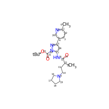 Cc1ccc(-c2cc(NC(=O)C(C)CCN3CCCC3)n(C(=O)OC(C)(C)C)n2)cn1